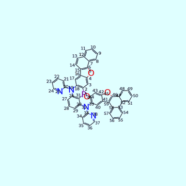 O=P12c3cc4oc5c6ccccc6ccc5c4cc3N(c3ccccn3)c3cccc(c31)N(c1ccccn1)c1cc3c(cc12)oc1c2ccccc2c2ccccc2c31